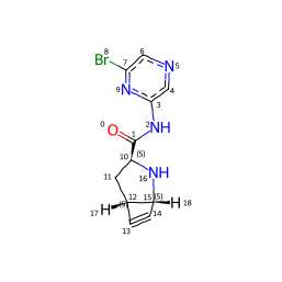 O=C(Nc1cncc(Br)n1)[C@@H]1C[C@H]2C#C[C@H]2N1